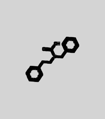 O=C(O)N(CCc1ccccc1)Cc1ccccc1